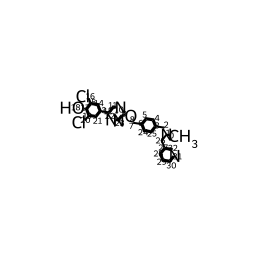 CN(Cc1ccc(COc2ncc(-c3cc(Cl)c(O)c(Cl)c3)nn2)cc1)Cc1cccnc1